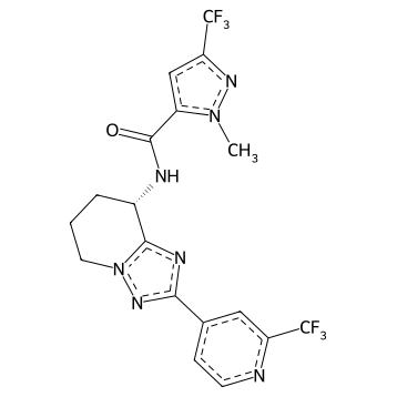 Cn1nc(C(F)(F)F)cc1C(=O)N[C@H]1CCCn2nc(-c3ccnc(C(F)(F)F)c3)nc21